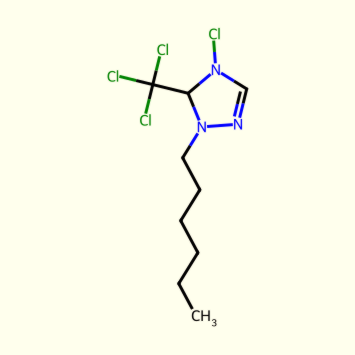 CCCCCCN1N=CN(Cl)C1C(Cl)(Cl)Cl